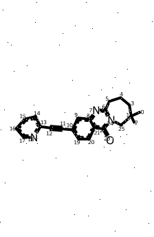 CC1(C)CCCc2nc3cc(C#Cc4ccccn4)ccc3c(=O)n2C1